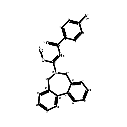 CCOC(=NC(=O)c1ccc(Br)cc1)N1Cc2ccccc2-c2ccccc2C1